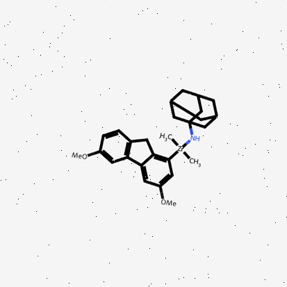 COc1ccc2c(c1)-c1cc(OC)c[c]([Zr]([CH3])([CH3])[NH]C34CC5CC(CC(C5)C3)C4)c1C2